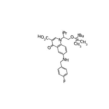 CC(C)C(CO[Si](C)(C)C(C)(C)C)n1cc(C(=O)O)c(=O)c2cc(NCc3ccc(F)cc3)ccc21